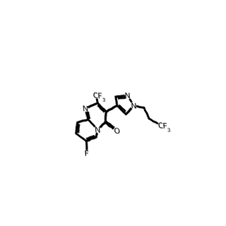 O=c1c(-c2cnn(CCC(F)(F)F)c2)c(C(F)(F)F)nc2ccc(F)cn12